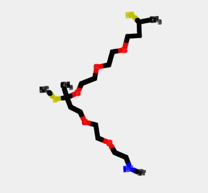 CC(S)CCOCCOCCOC(C)(CCOCCOCCNC(C)C)SC#N